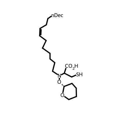 CCCCCCCCCCCC/C=C\CCCCCCN(O[C@@H]1CCCCO1)C(CS)C(=O)O